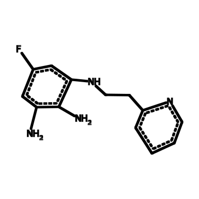 Nc1cc(F)cc(NCCc2ccccn2)c1N